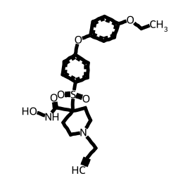 C#CCN1CCC(C(=O)NO)(S(=O)(=O)c2ccc(Oc3ccc(OCC)cc3)cc2)CC1